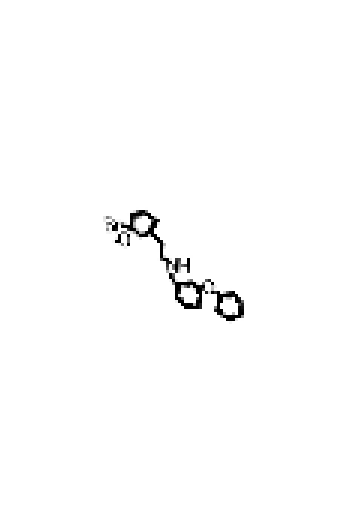 COC1(Br)C=CC=C(CCNCc2cccc(Oc3ccccc3)c2)C1